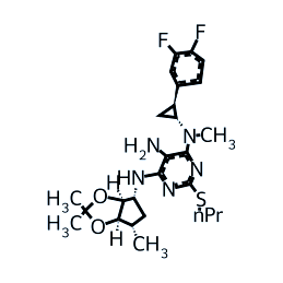 CCCSc1nc(N[C@@H]2C[C@H](C)[C@H]3OC(C)(C)O[C@H]32)c(N)c(N(C)[C@@H]2C[C@H]2c2ccc(F)c(F)c2)n1